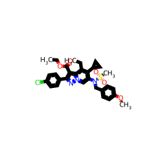 CCOC(=O)c1c(-c2ccc(Cl)cc2)nn2cc(N(Cc3ccc(OC)cc3)S(C)(=O)=O)c(C3CC3)c(CC)c12